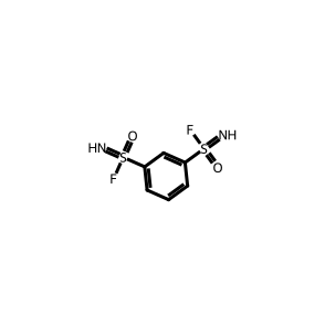 N=S(=O)(F)c1cccc(S(=N)(=O)F)c1